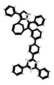 C1=CC2CC(C=C1)C1=C(c3ccccc3)CNN1C(c1ccccc1)=C2C1=CC(C2C=CC(c3nc(-c4ccccc4)nc(-c4ccccc4)n3)=CC2)=CCC1